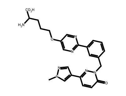 Cn1cc(-c2ccc(=O)n(Cc3cccc(-c4ncc(OCCCC(N)C(=O)O)cn4)c3)n2)cn1